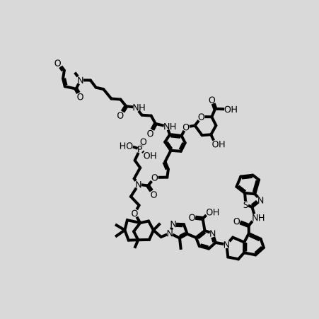 Cc1c(-c2ccc(N3CCc4cccc(C(=O)Nc5nc6ccccc6s5)c4C3)nc2C(=O)O)cnn1CC1(C)CC2(C)CC(C)(C)CC(OCCN(CCCP(=O)(O)O)C(=O)OC/C=C/c3ccc(OC4CC(O)CC(C(=O)O)O4)c(NC(=O)CCNC(=O)CCCCCN(C)C(=O)/C=C\C=O)c3)(C1)C2